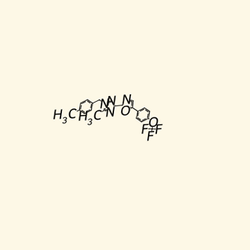 Cc1ccc(Cn2nc(-c3ncc(-c4ccc(OC(F)(F)F)cc4)o3)nc2C)cc1